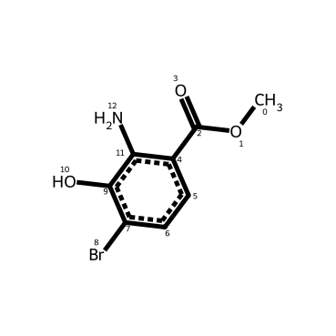 COC(=O)c1ccc(Br)c(O)c1N